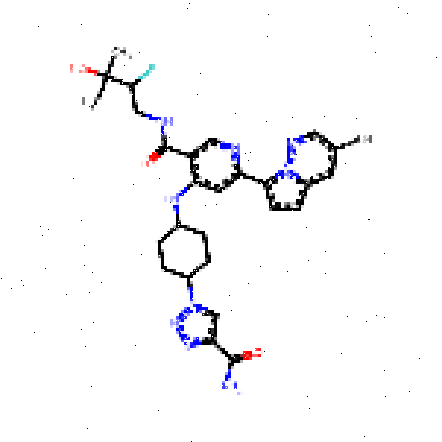 CC(C)(O)C(F)CNC(=O)c1cnc(-c2ccc3cc(C#N)cnn23)cc1NC1CCC(n2cc(C(N)=O)nn2)CC1